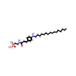 CCCCCCCCCCCCCCCCNc1ccc(C=CC(=O)NCCS(=O)(=O)O)cc1